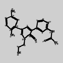 CC(=O)Nc1cc(-c2cc(-c3cc(N)ccc3C)cn(CCO)c2=O)ccn1